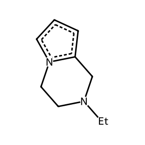 CCN1CCn2cccc2C1